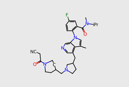 Cc1cn(-c2ccc(F)cc2C(=O)N(C)C(C)C)c2cncc(CC3CCN(CC4CCN(C(=O)CC#N)CC4)C3)c12